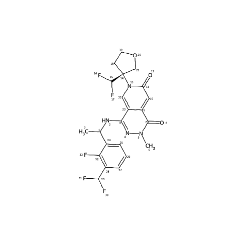 CC(Nc1nn(C)c(=O)c2cc(=O)n([C@]3(C(F)F)CCOC3)cc12)c1cccc(C(F)F)c1F